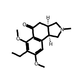 CCc1c(OC)cc2c(c1OC)C(=O)C[C@H]1CN(C)C[C@@H]21